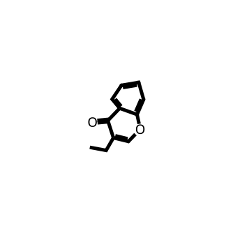 CCc1coc2ccccc2c1=O